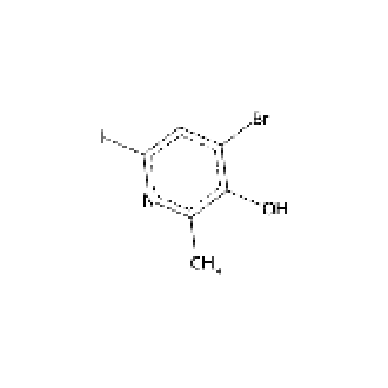 Cc1nc(I)cc(Br)c1O